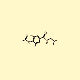 CC(=O)Oc1c(F)cc(C(=O)NCC(C)C)cc1F